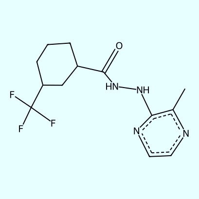 Cc1nccnc1NNC(=O)C1CCCC(C(F)(F)F)C1